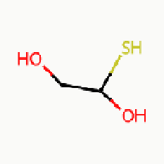 OCC(O)S